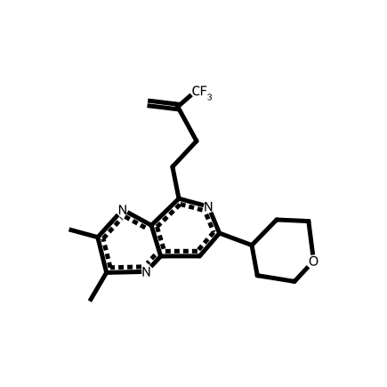 C=C(CCc1nc(C2CCOCC2)cc2nc(C)c(C)nc12)C(F)(F)F